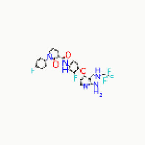 Nc1nccc(Oc2ccc(NC(=O)c3cccn(-c4ccc(F)cc4)c3=O)cc2F)c1CNCC(F)(F)F